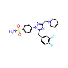 NS(=O)(=O)c1ccc(-n2nc(CN3CC=CCC3)nc2Cc2ccc(F)c(F)c2)cc1